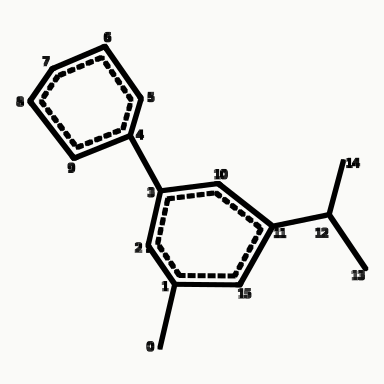 Cc1[c]c(-c2ccccc2)cc(C(C)C)c1